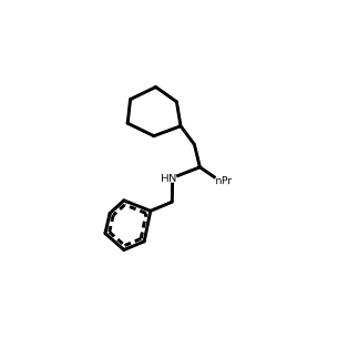 CCCC(CC1CCCCC1)NCc1ccccc1